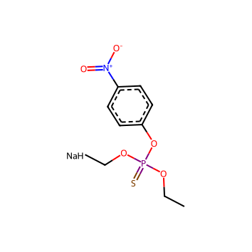 CCOP(=S)(OCC)Oc1ccc([N+](=O)[O-])cc1.[NaH]